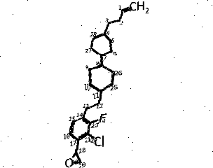 C=CCCC1CCC(C2CCC(CCc3ccc(C4CO4)c(Cl)c3F)CC2)CC1